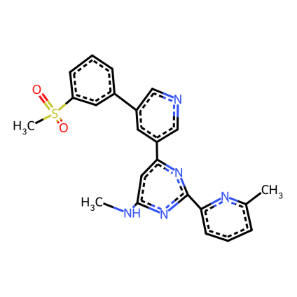 CNc1cc(-c2cncc(-c3cccc(S(C)(=O)=O)c3)c2)nc(-c2cccc(C)n2)n1